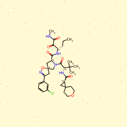 CCC[C@H](NC(=O)[C@@H]1C[C@]2(CC(c3cccc(Cl)c3)=NO2)CN1C(=O)[C@@H](NC(=O)[C@@H]1CC12CCOCC2)C(C)(C)C)C(=O)C(=O)NC